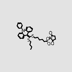 CCCCSC(SCCCCCC(=O)ON1C(=O)CCC1=O)=C1c2ccccc2N(c2ccccc2)c2ccccc21